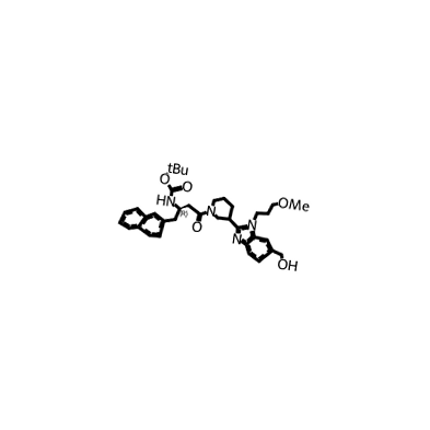 COCCCn1c(C2CCCN(C(=O)C[C@@H](Cc3ccc4ccccc4c3)NC(=O)OC(C)(C)C)C2)nc2ccc(CO)cc21